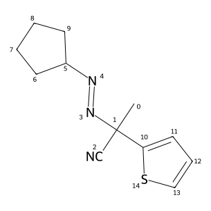 CC(C#N)(N=NC1CCCC1)c1cccs1